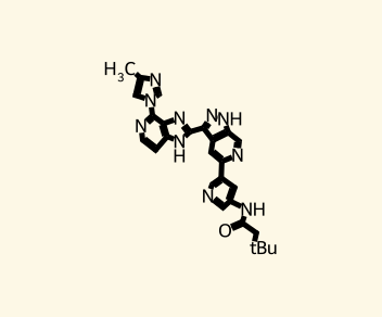 Cc1cn(-c2nccc3[nH]c(-c4n[nH]c5cnc(-c6cncc(NC(=O)CC(C)(C)C)c6)cc45)nc23)cn1